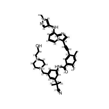 Cc1cc(F)c(C(=O)Nc2cc(CN3CCN(CCO)CC3)cc(C(C)(C)C#N)c2)cc1C#Cc1cnc2c(Nc3cnn(C)c3)cccn12